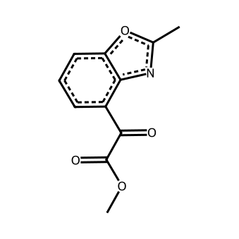 COC(=O)C(=O)c1cccc2oc(C)nc12